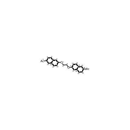 CC(=O)c1ccc2cc(OCCOc3ccc4cc(C(C)=O)ccc4c3)ccc2c1